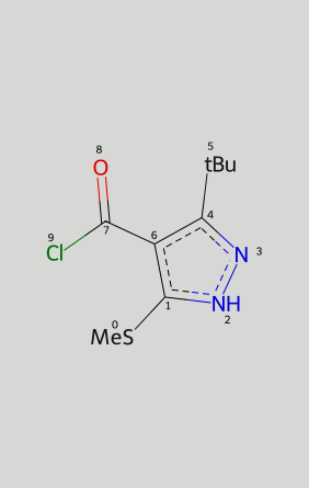 CSc1[nH]nc(C(C)(C)C)c1C(=O)Cl